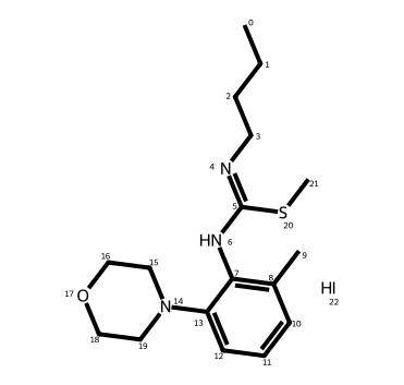 CCCC/N=C(/Nc1c(C)cccc1N1CCOCC1)SC.I